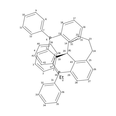 CCc1cccc(P(c2ccccc2)c2ccccc2)c1[C@H]1C=CCCc2cccc(P(c3ccccc3)c3ccccc3)c21